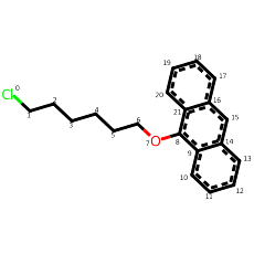 ClCCCCCCOc1c2ccccc2cc2ccccc12